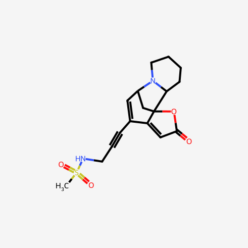 CS(=O)(=O)NCC#CC1=CC2CC3(OC(=O)C=C13)C1CCCCN21